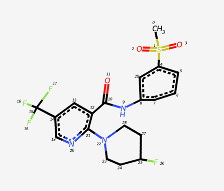 CS(=O)(=O)c1cccc(NC(=O)c2cc(C(F)(F)F)cnc2N2CCC(F)CC2)c1